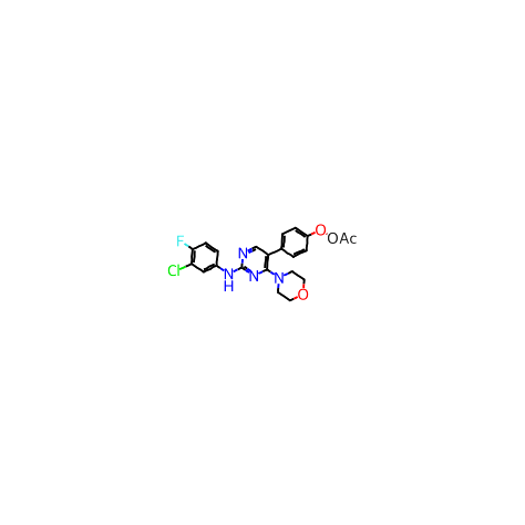 CC(=O)OOc1ccc(-c2cnc(Nc3ccc(F)c(Cl)c3)nc2N2CCOCC2)cc1